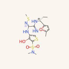 CC[C@@H](NC(=N)/C(=N\SC)Nc1csc(S(=O)(=O)N(C)C)c1O)c1ccc(C)o1